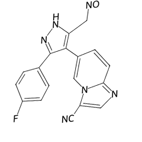 N#Cc1cnc2ccc(-c3c(-c4ccc(F)cc4)n[nH]c3CN=O)cn12